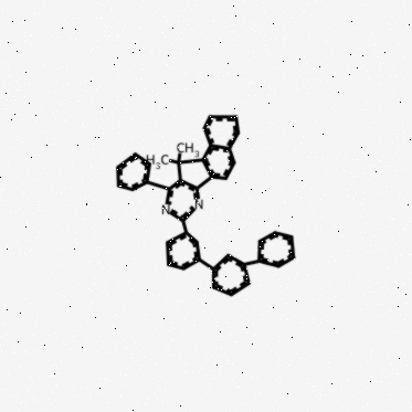 CC1(C)c2c(-c3ccccc3)nc(-c3cccc(-c4cccc(-c5ccccc5)c4)c3)nc2-c2ccc3ccccc3c21